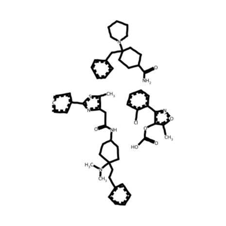 Cc1onc(-c2ccccc2Cl)c1OC(=O)O.Cc1sc(-c2ccccc2)nc1CC(=O)NC1CCC(CCc2ccccc2)(N(C)C)CC1.NC(=O)C1CCC(Cc2ccccc2)(N2CCCCC2)CC1